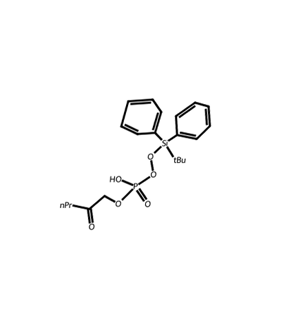 CCCC(=O)COP(=O)(O)OO[Si](c1ccccc1)(c1ccccc1)C(C)(C)C